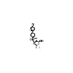 CCC[C@@H](NS(=O)(=O)N1CCN(c2ccc(Cl)cn2)CC1)C(=O)NO